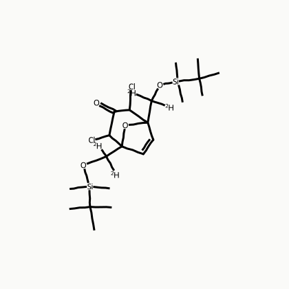 [2H]C([2H])(O[Si](C)(C)C(C)(C)C)C12C=CC(C([2H])([2H])O[Si](C)(C)C(C)(C)C)(O1)C(Cl)C(=O)C2Cl